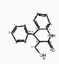 O=C1Nc2ccccc2C(c2ccccc2)C1CO